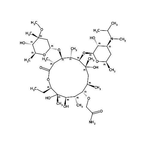 CC[C@H]1OC(=O)[C@H](C)[C@@H](O[C@H]2C[C@@](C)(OC)[C@@H](O)[C@H](C)O2)[C@H](C)[C@@H](O[C@@H]2O[C@H](C)C[C@H](N(C)C(C)C)[C@H]2O)[C@](C)(O)C[C@@H](C)[C@H](OCC(N)=O)[C@H](C)[C@@H](O)[C@]1(C)O